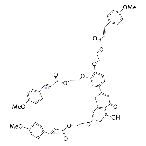 COc1ccc(/C=C/C(=O)OCCOc2cc(O)c3c(c2)CC(c2ccc(OCCOC(=O)/C=C/c4ccc(OC)cc4)c(OCCOC(=O)/C=C/c4ccc(OC)cc4)c2)=CC3=O)cc1